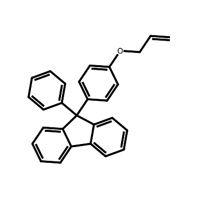 C=CCOc1ccc(C2(c3ccccc3)c3ccccc3-c3ccccc32)cc1